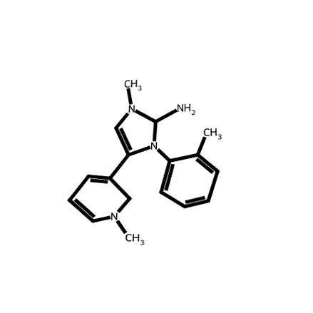 Cc1ccccc1N1C(C2=CC=CN(C)C2)=CN(C)C1N